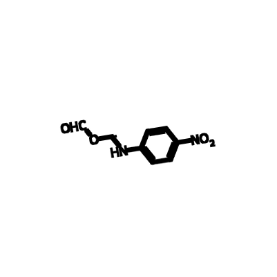 O=CO[CH]Nc1ccc([N+](=O)[O-])cc1